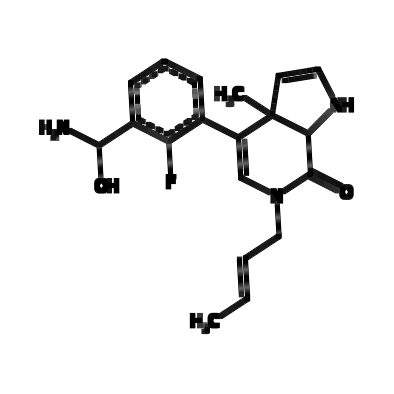 C/C=C/CN1C=C(c2cccc(C(N)O)c2F)C2(C)C=CNC2C1=O